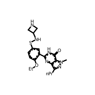 CCCc1nn(C)c2c(=O)[nH]c(-c3cc(SNC4CNC4)ccc3OCC)nc12